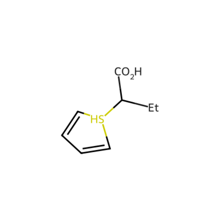 CCC(C(=O)O)[SH]1C=CC=C1